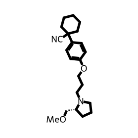 COC[C@H]1CCCN1CCCOc1ccc(C2(C#N)CCCCC2)cc1